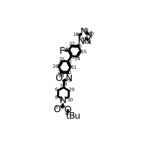 CC(C)(C)OC(=O)N1CCC(c2nc3cc(-c4ccc(-n5cnnn5)cc4F)ccc3o2)CC1